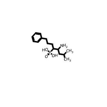 CC(C)CC(N)C([CH]CCc1ccccc1)P(=O)(O)O